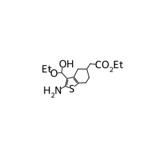 CCOC(=O)CC1CCc2sc(N)c(C(O)OCC)c2C1